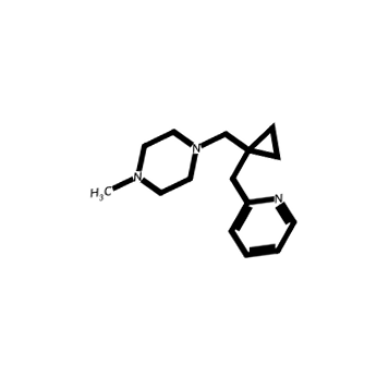 CN1CCN(CC2(Cc3ccccn3)CC2)CC1